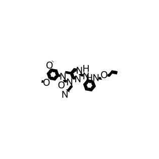 C=CCOCNc1ccccc1Nc1ncc2c(n1)N(CC#N)C(=O)N(c1cc(OC)cc(OC)c1)C2